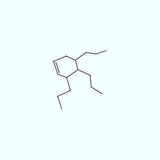 CCCC1C=CCC(CCC)C1CCC